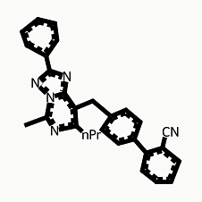 CCCc1nc(C)n2nc(-c3ccccc3)nc2c1Cc1ccc(-c2ccccc2C#N)cc1